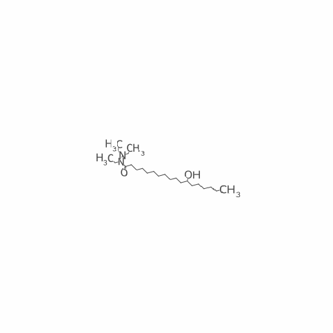 CCCCCCC(O)CCCCCCCCCCC(=O)N(CC)N(CC)CC